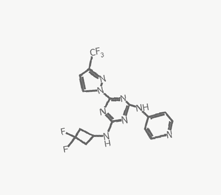 FC1(F)CC(Nc2nc(Nc3ccncc3)nc(-n3ccc(C(F)(F)F)n3)n2)C1